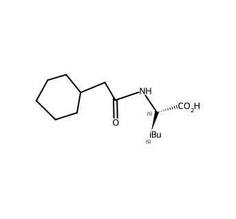 CC[C@H](C)[C@H](NC(=O)CC1CCCCC1)C(=O)O